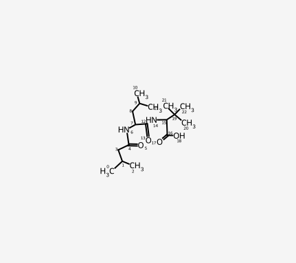 CC(C)CC(=O)NC(CC(C)C)C(=O)NC(C(=O)O)C(C)(C)C